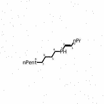 CCCC=CPCCCCCCCCC